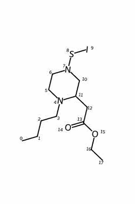 CCCCN1CCN(SI)CC1CC(=O)OCC